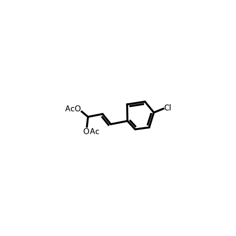 CC(=O)OC(/C=C/c1ccc(Cl)cc1)OC(C)=O